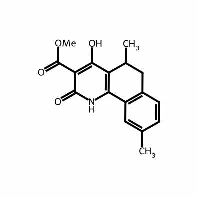 COC(=O)c1c(O)c2c([nH]c1=O)-c1cc(C)ccc1CC2C